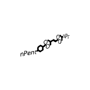 CCCCCC1CCC(C2OCC(CCC3OCC(CCC)CO3)CO2)CC1